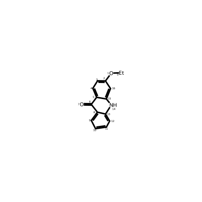 CCOc1ccc2c(=O)c3ccccc3[nH]c2c1